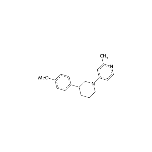 COc1ccc(C2CCCN(c3ccnc(C)c3)C2)cc1